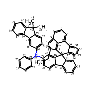 CCc1ccc2cccc3c2c1C1(c2ccccc2-c2ccc(N(c4ccccc4)c4ccc5c(c4)-c4ccccc4C5(C)C)cc21)c1ccccc1-3